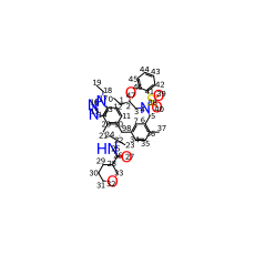 CC[C@@H]1CN(Cc2cc([C@@H](c3ccc4c(nnn4CC)c3C)C(C)(C)NC(=O)C3CCCOC3)ccc2C)S(=O)(=O)c2ccccc2O1